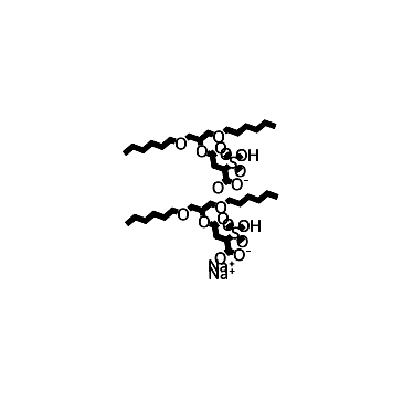 CCCCCCOCC(COCCCCCC)OC(=O)CC(C(=O)[O-])S(=O)(=O)O.CCCCCCOCC(COCCCCCC)OC(=O)CC(C(=O)[O-])S(=O)(=O)O.[Na+].[Na+]